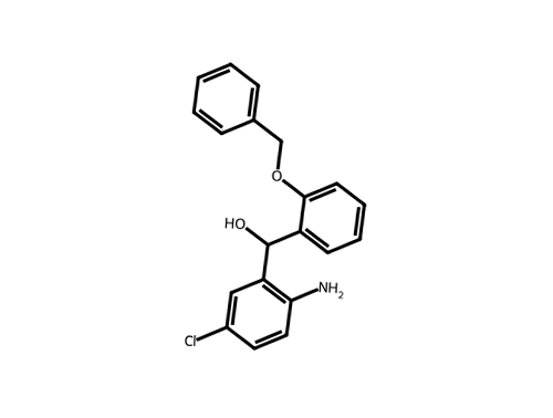 Nc1ccc(Cl)cc1C(O)c1ccccc1OCc1ccccc1